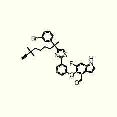 C#CC(C)(C)CCCCC(C)(c1cccc(Br)c1)c1csc(-c2cccc(Oc3c(F)cc4[nH]ccc4c3C=O)c2)n1